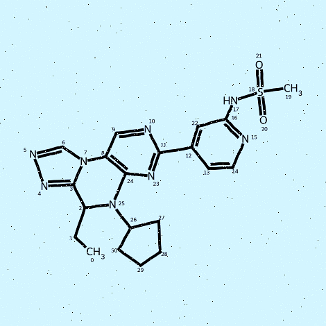 CCC1c2nncn2-c2cnc(-c3ccnc(NS(C)(=O)=O)c3)nc2N1C1CCCC1